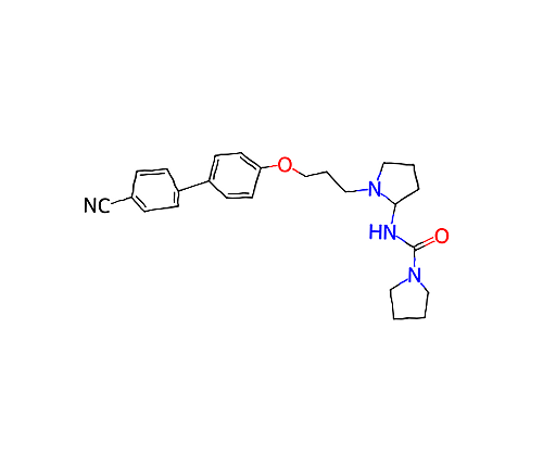 N#Cc1ccc(-c2ccc(OCCCN3CCCC3NC(=O)N3CCCC3)cc2)cc1